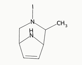 CC1C2C=CC(CN1I)N2